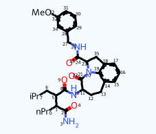 CCCC(C(N)=O)C(CC(C)C)C(=O)NC1CCc2cccc3c2N(C1=O)C(C(=O)NCc1cccc(OC)c1)C3